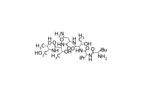 CCC(C)C(N)C(=O)NC(C(=O)NC(C(=O)NC(CC(N)=O)C(=O)NC(C(=O)NC(C(=O)O)C(C)O)C(C)O)C(C)O)C(C)C